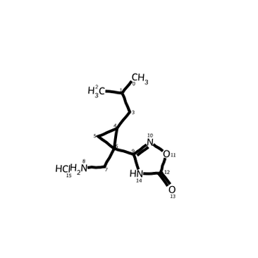 CC(C)CC1CC1(CN)c1noc(=O)[nH]1.Cl